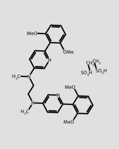 COc1cccc(OC)c1-c1ccc(N(C)CCN(C)c2ccc(-c3c(OC)cccc3OC)nc2)cn1.CS(=O)(=O)O.CS(=O)(=O)O